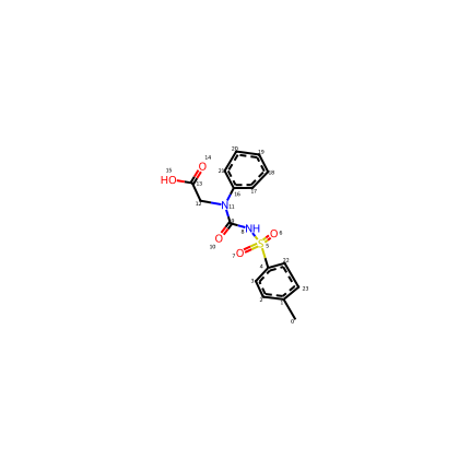 Cc1ccc(S(=O)(=O)NC(=O)N(CC(=O)O)c2ccccc2)cc1